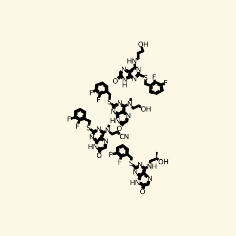 CN(CCC#N)c1nc(SCc2cccc(F)c2F)nc2[nH]c(=O)cnc12.CN(CCO)c1nc(SCc2cccc(F)c2F)nc2[nH]c(=O)cnc12.C[C@@H](O)CNc1nc(SCc2cccc(F)c2F)nc2[nH]c(=O)cnc12.O=c1cnc2c(NCCCO)nc(SCc3cccc(F)c3F)nc2[nH]1